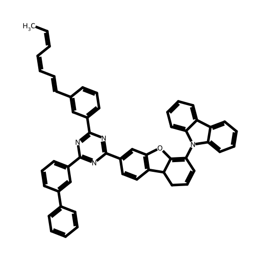 C\C=C/C=C\C=C\c1cccc(-c2nc(-c3cccc(-c4ccccc4)c3)nc(-c3ccc4c(c3)OC3=C(n5c6ccccc6c6ccccc65)C=CCC34)n2)c1